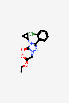 CCOC(=O)Cn1nc(-c2ccccc2Cl)n(C2CC2)c1=O